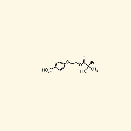 CC(C)C(C)(C)C(=O)OCCOc1ccc(C(=O)O)cc1